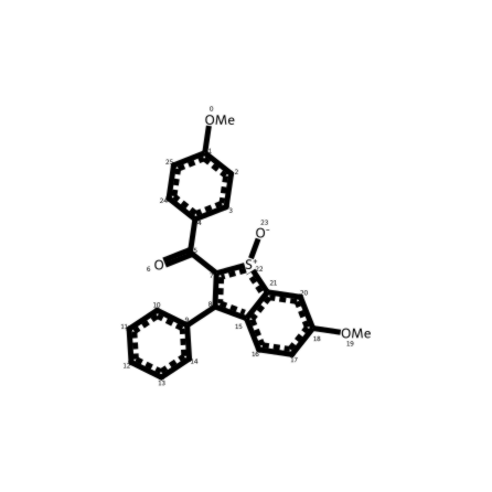 COc1ccc(C(=O)c2c(-c3ccccc3)c3ccc(OC)cc3[s+]2[O-])cc1